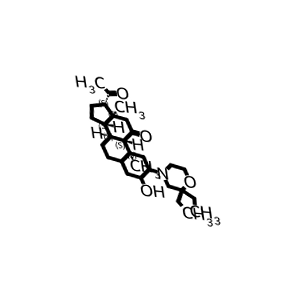 CCC1(CC)CN(C2C[C@@]3(C)C(CC[C@H]4[C@@H]5CC[C@H](C(C)=O)[C@@]5(C)CC(=O)[C@@H]43)CC2O)CCO1